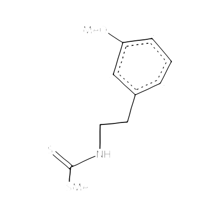 COc1cccc(CCNC(=S)SC)c1